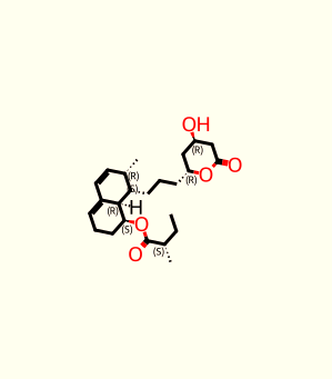 CC[C@H](C)C(=O)O[C@H]1CCC=C2C=C[C@H](C)[C@H](CCC[C@@H]3C[C@@H](O)CC(=O)O3)[C@H]21